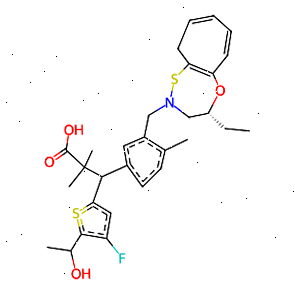 CC[C@@H]1CN(Cc2cc(C(c3cc(F)c(C(C)O)s3)C(C)(C)C(=O)O)ccc2C)SC2=C(C=CC=CC2)O1